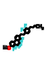 C=CCCc1ccc(CCc2ccc3c(c2F)C(F)(F)C(F)(F)c2c-3ccc(OCC)c2F)c(F)c1F